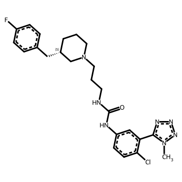 Cn1nnnc1-c1cc(NC(=O)NCCCN2CCC[C@@H](Cc3ccc(F)cc3)C2)ccc1Cl